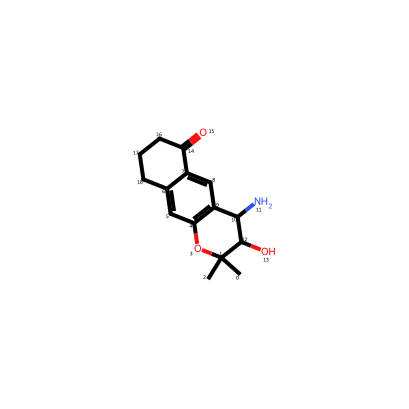 CC1(C)Oc2cc3c(cc2C(N)C1O)C(=O)CCC3